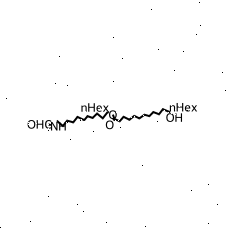 CCCCCCC(O)CCCCCCCCCCC(=O)OC(CCCCCC)CCCCCCCCCCNC=O